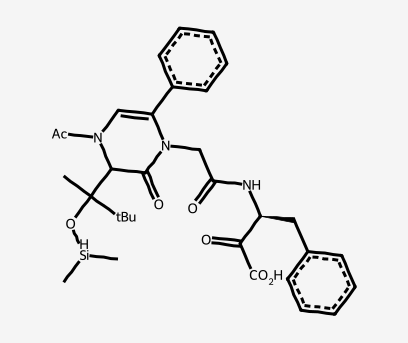 CC(=O)N1C=C(c2ccccc2)N(CC(=O)N[C@@H](Cc2ccccc2)C(=O)C(=O)O)C(=O)C1C(C)(O[SiH](C)C)C(C)(C)C